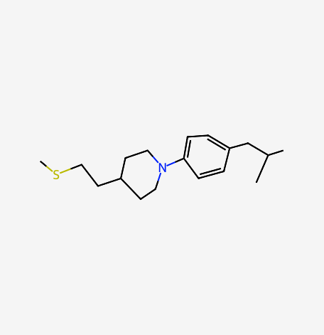 CSCCC1CCN(c2ccc(CC(C)C)cc2)CC1